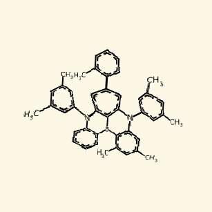 Cc1cc(C)cc(N2c3ccccc3B3c4c(C)cc(C)cc4N(c4cc(C)cc(C)c4)c4cc(-c5ccccc5C)cc2c43)c1